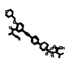 CC(C)[C@@H](NS(=O)(=O)N1CCN(c2ccc(C#Cc3ccc(OCC4CCOCC4)c(C(=O)N(C)C#N)c3)cc2)CC1)C(=O)O